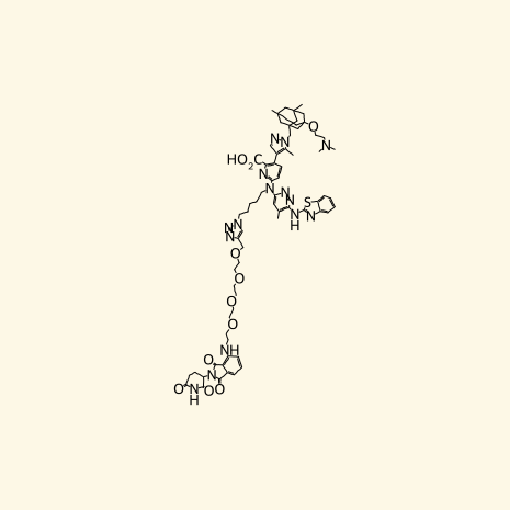 Cc1cc(N(CCCCCn2cc(COCCOCCOCCOCCNc3cccc4c3C(=O)N(C3CCC(=O)NC3=O)C4=O)nn2)c2ccc(-c3cnn(CC45CC6(C)CC(C)(C4)CC(OCCN(C)C)(C6)C5)c3C)c(C(=O)O)n2)nnc1Nc1nc2ccccc2s1